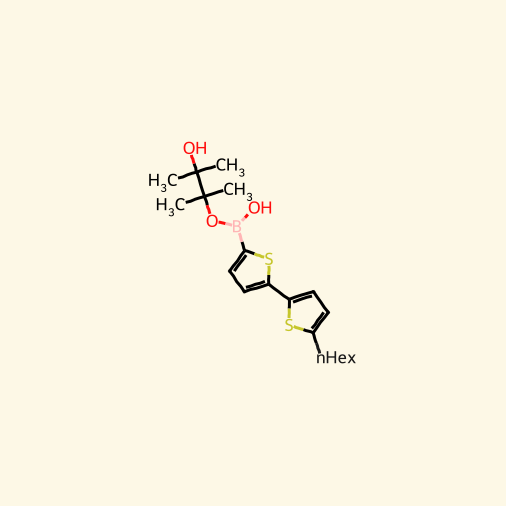 CCCCCCc1ccc(-c2ccc(B(O)OC(C)(C)C(C)(C)O)s2)s1